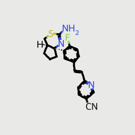 N#Cc1ccc(/C=C/c2ccc(F)c([C@]34CCC[C@H]3CSC(N)=N4)c2)nc1